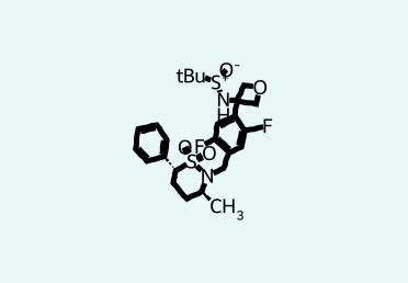 C[C@H]1CC[C@H](c2ccccc2)S(=O)(=O)N1Cc1cc(F)c(C2(N[S+]([O-])C(C)(C)C)COC2)cc1F